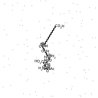 CC(=O)CNC(=O)C(CN)NC(=O)[C@H](CCC(=O)O)NC(=O)CNC(=O)[C@H](CN)NC(=O)CCCNC(=O)CCC(NC(=O)CCCCCCCCCCCCCCCCC(=O)O)C(N)=O